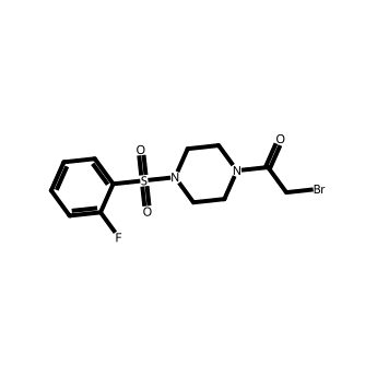 O=C(CBr)N1CCN(S(=O)(=O)c2ccccc2F)CC1